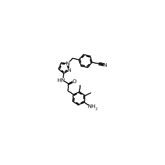 Cc1c(N)ccc(CC(=O)Nc2ccn(Cc3ccc(C#N)cc3)n2)c1C